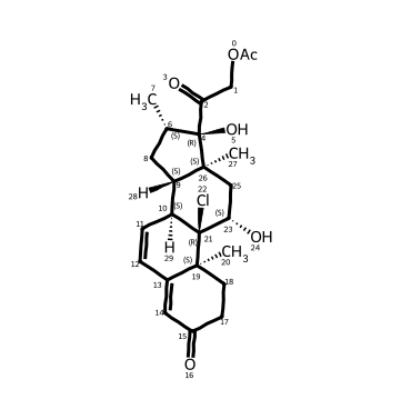 CC(=O)OCC(=O)[C@@]1(O)[C@@H](C)C[C@H]2[C@@H]3C=CC4=CC(=O)CC[C@]4(C)[C@@]3(Cl)[C@@H](O)C[C@@]21C